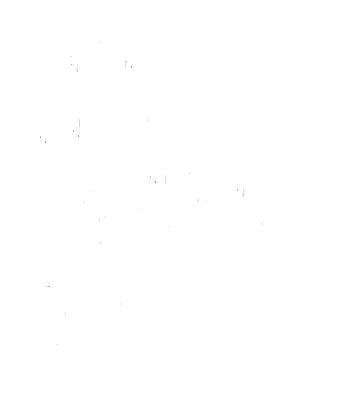 NNC(=O)C(Cc1c[nH]cn1)NC(=O)C(CC(=O)N1CCOCC1)Cc1cccc2ccccc12